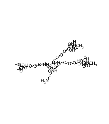 CC(=O)N[C@H]1[C@H]2OC[C@](COCCOCCOCCOCCn3cc(COCC(COCc4cn(CCOCCOCCOCCOC[C@]56CO[C@H](C[C@@H](O)[C@H]5O)O6)nn4)(COCc4cn(CCOCCOCCOCCO[C@@]56CO[C@@H](O5)[C@H](NC(C)=O)[C@@H](O)[C@H]6O)nn4)NC(=O)CCCCCN)nn3)(O2)[C@H](O)[C@@H]1O